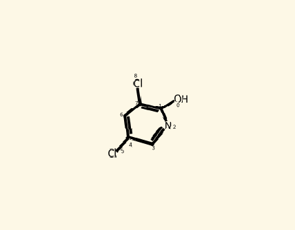 Oc1ncc(Cl)[c]c1Cl